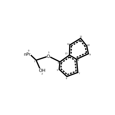 CCCC(O)Oc1cccc2ccccc12